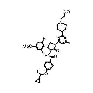 COc1cc(F)c([C@@H]2CN(c3cc(C)cc(C4CCN(CCN=O)CC4)n3)C(=O)[C@H]2NC(=O)c2ccc(OC(F)C3CC3)cc2)c(F)c1